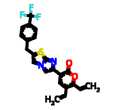 C=Cc1cc(-c2cn3cc(Cc4ccc(C(F)(F)F)cc4)sc3n2)c(=O)oc1C=C